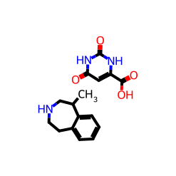 CC1CNCCc2ccccc21.O=C(O)c1cc(=O)[nH]c(=O)[nH]1